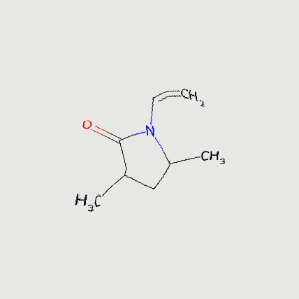 C=CN1C(=O)C(C)CC1C